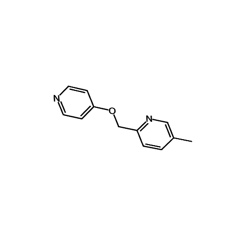 Cc1ccc(COc2ccncc2)nc1